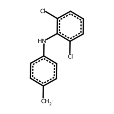 [CH2]c1ccc(Nc2c(Cl)cccc2Cl)cc1